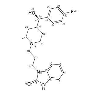 O=c1[nH]c2ccccc2n1CCCN1CCC([C@@H](O)c2ccc(F)cc2)CC1